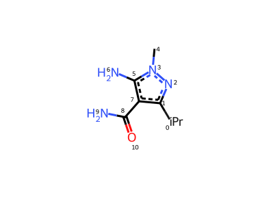 CC(C)c1nn(C)c(N)c1C(N)=O